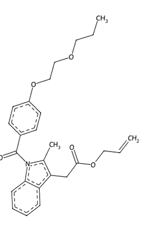 C=CCOC(=O)Cc1c(C)n(C(=O)c2ccc(OCCOCCC)cc2)c2ccccc12